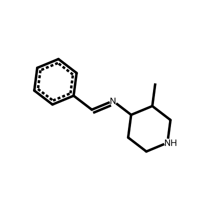 CC1CNCCC1/N=C/c1ccccc1